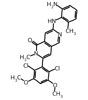 COc1cc(OC)c(Cl)c(-c2cc3cnc(Nc4c(C)cccc4N)cc3c(=O)n2C)c1Cl